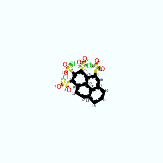 O=S(=O)(Cl)c1c(S(=O)(=O)Cl)c2ccc3cccc4cc(S(=O)(=O)Cl)c(c1S(=O)(=O)Cl)c2c34